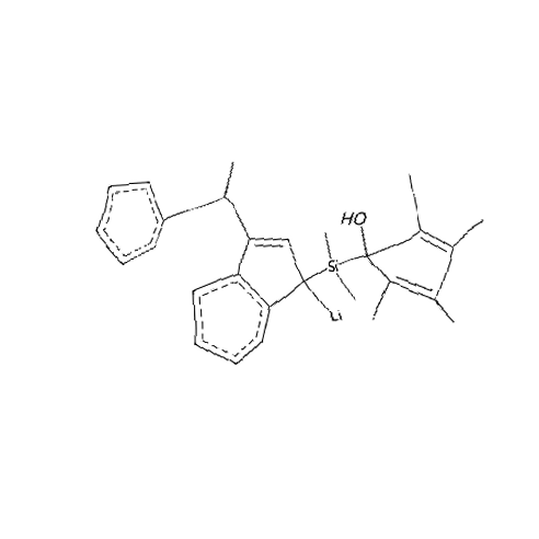 [Li][C]1([Si](C)(C)C2(O)C(C)=C(C)C(C)=C2C)C=C(C(C)c2ccccc2)c2ccccc21